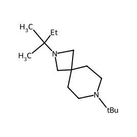 CCC(C)(C)N1CC2(CCN(C(C)(C)C)CC2)C1